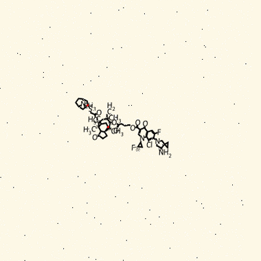 C=C[C@@]1(C)C[C@H](OC(=O)CSC2CC3CCC(C2)N3C)[C@@]2(C)C(C)CCC3(CCC(=O)C32)[C@H](C)[C@@H]1OC(=O)CCCOC(=O)c1cn(C2C[C@@H]2F)c2c(Cl)c(N3C[C@@H](N)C4(CC4)C3)c(F)cc2c1=O